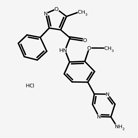 COc1cc(-c2cnc(N)cn2)ccc1NC(=O)c1c(-c2ccccc2)noc1C.Cl